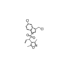 C=CC(c1c(C)noc1C)S(=O)(=O)n1cc(CCl)c2cc(Cl)ccc21